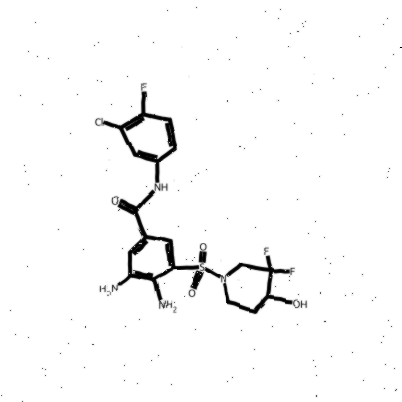 Nc1cc(C(=O)Nc2ccc(F)c(Cl)c2)cc(S(=O)(=O)N2CCC(O)C(F)(F)C2)c1N